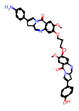 COc1cc2c(cc1OCCCOc1cc3c(cc1OC)C(=O)N1C=C(c4ccc(O)cc4)CC1C=N3)N=CC1CC(c3ccc(N)cc3)=CN1C2=O